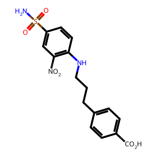 NS(=O)(=O)c1ccc(NCCCc2ccc(C(=O)O)cc2)c([N+](=O)[O-])c1